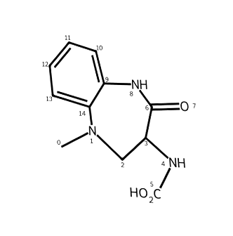 CN1CC(NC(=O)O)C(=O)Nc2ccccc21